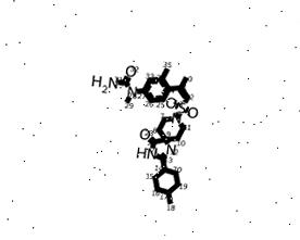 CC(=CS(=O)(=O)N1CCC2(CC1)N=C(C1CCC(C)CC1)NC2=O)c1ccc(N(C)C(N)=O)cc1C